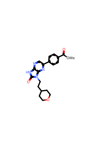 COC(=O)c1ccc(-c2cnc3[nH]c(=O)n(CCC4CCOCC4)c3n2)cc1